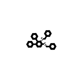 [c]1cc(-c2ccccc2)c(-c2ccccc2)c(SCc2ccccc2)c1SCc1ccccc1